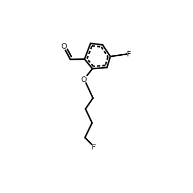 O=Cc1ccc(F)cc1OCCCCF